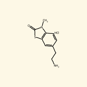 Cl.Cn1c(=O)sc2cc(CCN)ccc21